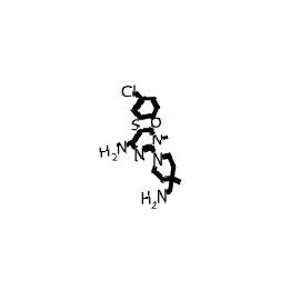 Cn1c(N2CCC(C)(CN)CC2)nc(N)c(Sc2cccc(Cl)c2)c1=O